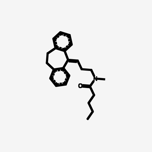 CCCCC(=O)N(C)CCC=C1c2ccccc2CCc2ccccc21